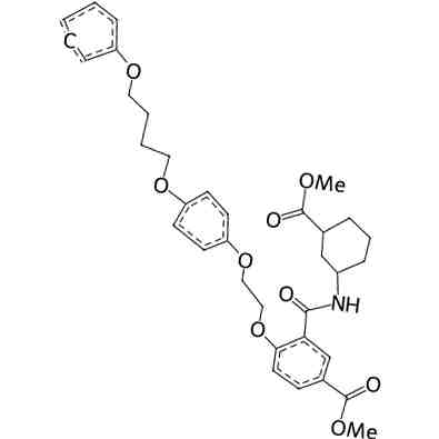 COC(=O)c1ccc(OCCOc2ccc(OCCCCOc3ccccc3)cc2)c(C(=O)NC2CCCC(C(=O)OC)C2)c1